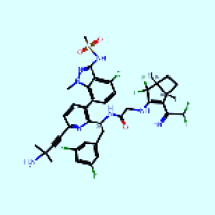 Cn1nc(NS(C)(=O)=O)c2c(Cl)ccc(-c3ccc(C#CC(C)(C)N)nc3[C@H](Cc3cc(F)cc(F)c3)NC(=O)CNC3=C(C(=N)C(F)F)[C@H]4CC[C@H]4C3(F)F)c21